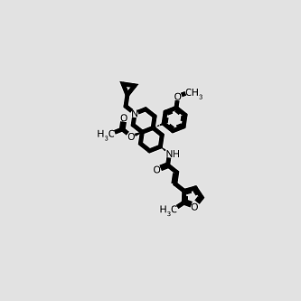 COc1cccc([C@@]23CCN(CC4CC4)C[C@@]2(OC(C)=O)CC[C@@H](NC(=O)C=Cc2ccoc2C)C3)c1